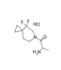 CC(N)C(=O)N1CCC2(CC2)C(F)(F)C1.Cl